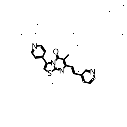 Cc1c(/C=C/c2cccnc2)nc2scc(-c3ccncc3)n2c1=O